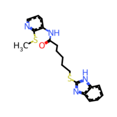 CSc1ncccc1NC(=O)CCCCCSc1nc2ccccc2[nH]1